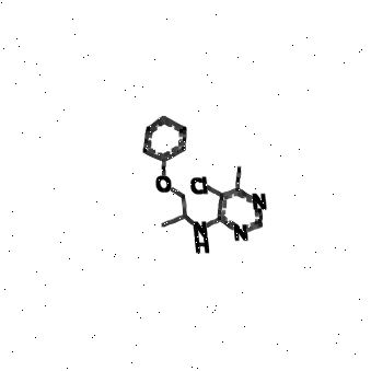 Cc1ncnc(NC(C)COc2ccccc2)c1Cl